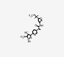 C=C(C(=O)Nc1cc(C(C)(C)CC(F)(F)F)on1)c1ccc(-c2nn(C(C)C)c(N)c2C#N)nc1